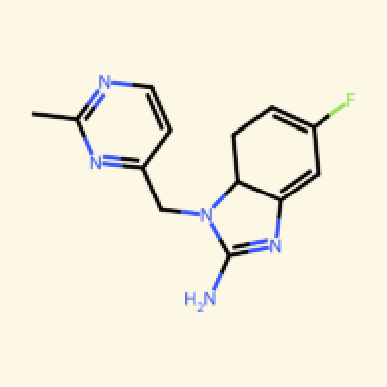 Cc1nccc(CN2C(N)=NC3=CC(F)=CCC32)n1